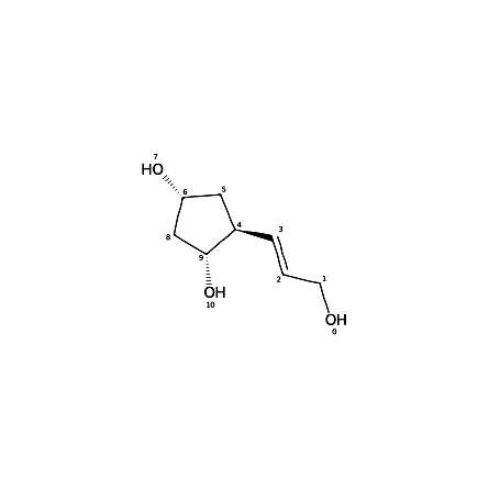 OC/C=C/[C@@H]1C[C@@H](O)C[C@H]1O